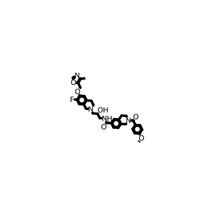 COc1ccc(C(=O)N2CCc3cc(C(=O)NC[C@H](O)CN4CCc5cc(OCc6ocnc6C)c(F)cc5C4)ccc3C2)cc1